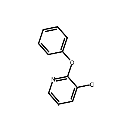 Clc1c[c]cnc1Oc1ccccc1